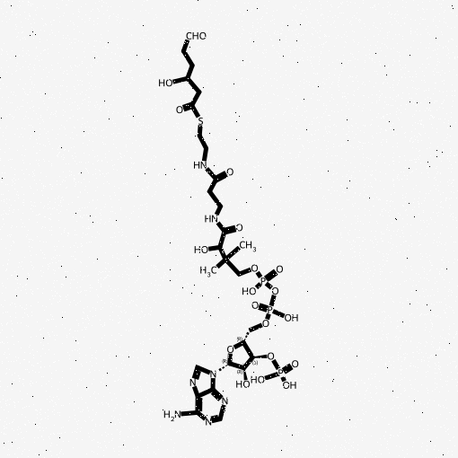 CC(C)(COP(=O)(O)OP(=O)(O)OC[C@H]1O[C@@H](n2cnc3c(N)ncnc32)[C@H](O)[C@@H]1OP(=O)(O)O)C(O)C(=O)NCCC(=O)NCCSC(=O)CC(O)CCC=O